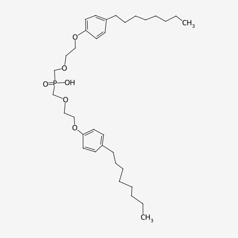 CCCCCCCCc1ccc(OCCOCP(=O)(O)COCCOc2ccc(CCCCCCCC)cc2)cc1